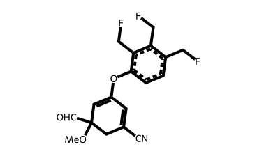 COC1(C=O)C=C(Oc2ccc(CF)c(CF)c2CF)C=C(C#N)C1